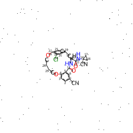 N#Cc1ccc2c(c1)C(=O)N[C@H](C(=O)NC1(C#N)CC1)Cc1ccc(c(Cl)c1)OCCCCO2